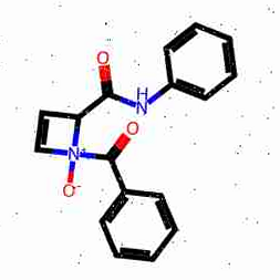 O=C(Nc1ccccc1)C1C=C[N+]1([O-])C(=O)c1ccccc1